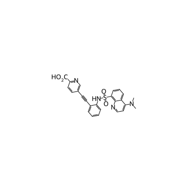 CN(C)c1ccnc2c(S(=O)(=O)Nc3ccccc3C#Cc3ccc(C(=O)O)nc3)cccc12